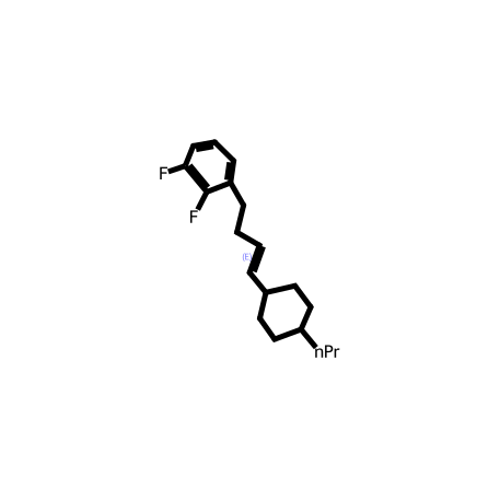 CCCC1CCC(/C=C/CCc2cccc(F)c2F)CC1